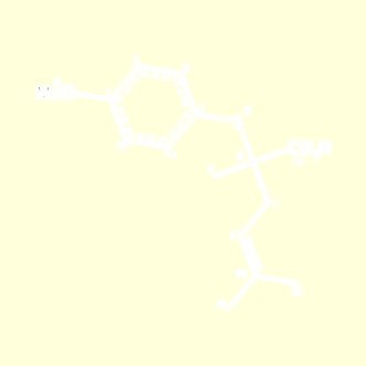 COc1ccc(SC(C)(CC=C(C)C)C(=O)O)cc1